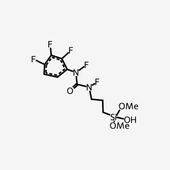 CO[Si](O)(CCCN(F)C(=O)N(F)c1ccc(F)c(F)c1F)OC